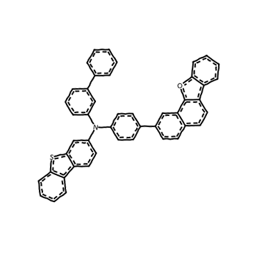 c1ccc(-c2cccc(N(c3ccc(-c4ccc5ccc6c7ccccc7oc6c5c4)cc3)c3ccc4c(c3)sc3ccccc34)c2)cc1